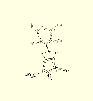 CCOC(=O)c1[nH]c(=S)n2c1C[C@@H](c1c(F)c(F)cc(F)c1F)C2